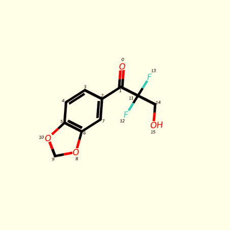 O=C(c1ccc2c(c1)OCO2)C(F)(F)CO